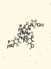 COc1cc(F)c(-c2c(NC(=O)c3ccc(OC(F)F)cc3)c(=O)n(-c3nc(N4CC[C@H](O)C4)ccc3C(F)(F)F)n2C)c(F)c1